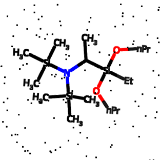 CCCO[Si](CC)(OCCC)C(C)N([Si](C)(C)C)[Si](C)(C)C